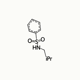 CC(C)CNS(=O)(=O)c1ccccc1